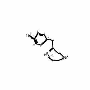 Clc1ccc(CC2CNCN2)cc1